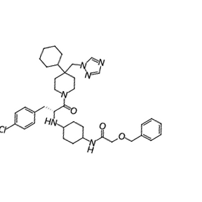 O=C(COCc1ccccc1)NC1CCC(N[C@H](Cc2ccc(Cl)cc2)C(=O)N2CCC(Cn3cncn3)(C3CCCCC3)CC2)CC1